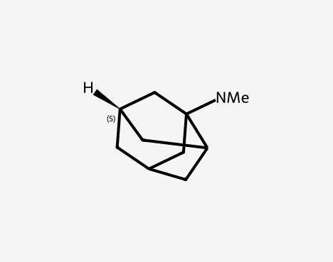 CNC12CC3CC1C[C@H](C3)C2